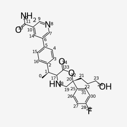 C[C@@H](c1ccc(-c2cncc(C(N)=O)c2)cc1)C1NC[C@@](CCCO)(c2ccc(F)cc2)OC1=O